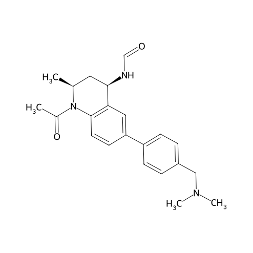 CC(=O)N1c2ccc(-c3ccc(CN(C)C)cc3)cc2[C@H](NC=O)C[C@@H]1C